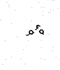 CC(Cc1cc(F)c(OCc2c(C(F)(F)F)ccn2-c2ccc(F)cc2)c(F)c1)C(=O)O